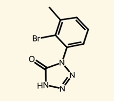 Cc1cccc(-n2nn[nH]c2=O)c1Br